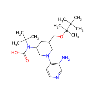 CC(C)(C)N(C(=O)O)C1CC(CO[Si](C)(C)C(C)(C)C)CN(c2ccncc2N)C1